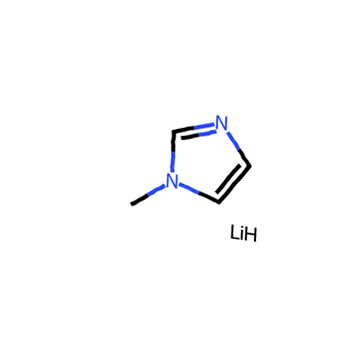 Cn1ccnc1.[LiH]